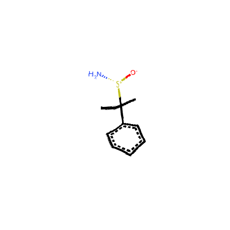 CC(C)(c1ccccc1)[S@+](N)[O-]